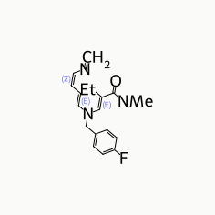 C=N/C=C\C=C\N(/C=C(\CC)C(=O)NC)Cc1ccc(F)cc1